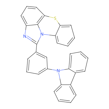 c1cc(-c2nc3cccc4c3n2-c2ccccc2S4)cc(-n2c3ccccc3c3ccccc32)c1